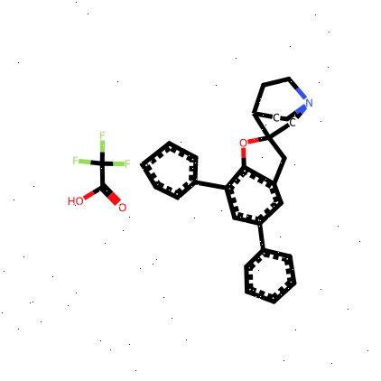 O=C(O)C(F)(F)F.c1ccc(-c2cc3c(c(-c4ccccc4)c2)OC2(C3)CN3CCC2CC3)cc1